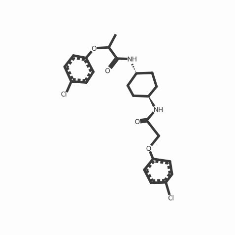 CC(Oc1ccc(Cl)cc1)C(=O)N[C@H]1CC[C@H](NC(=O)COc2ccc(Cl)cc2)CC1